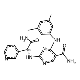 Cc1cc(C)cc(Nc2nc(N[C@@H](C(N)=O)c3cccnc3)ncc2C(N)=O)c1